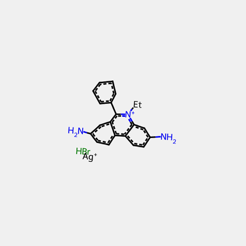 Br.CC[n+]1c(-c2ccccc2)c2cc(N)ccc2c2ccc(N)cc21.[Ag+]